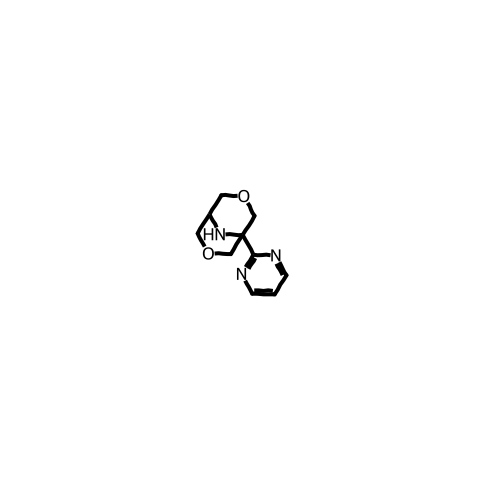 c1cnc(C23COCC(COC2)N3)nc1